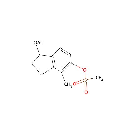 CC(=O)OC1CCc2c1ccc(OS(=O)(=O)C(F)(F)F)c2C